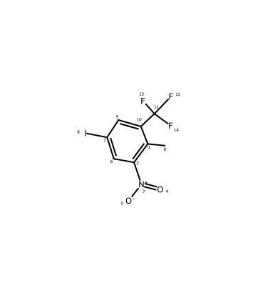 Cc1c([N+](=O)[O-])cc(I)cc1C(F)(F)F